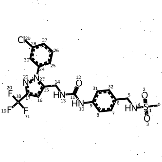 CS(=O)(=O)NCc1ccc(NC(=O)NCc2cc(C(F)(F)F)nn2-c2cccc(Cl)c2)cc1